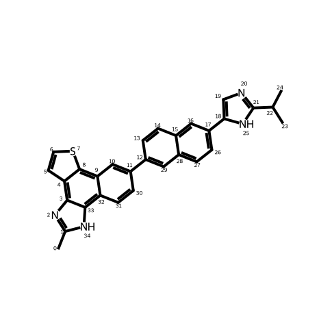 Cc1nc2c3ccsc3c3cc(-c4ccc5cc(-c6cnc(C(C)C)[nH]6)ccc5c4)ccc3c2[nH]1